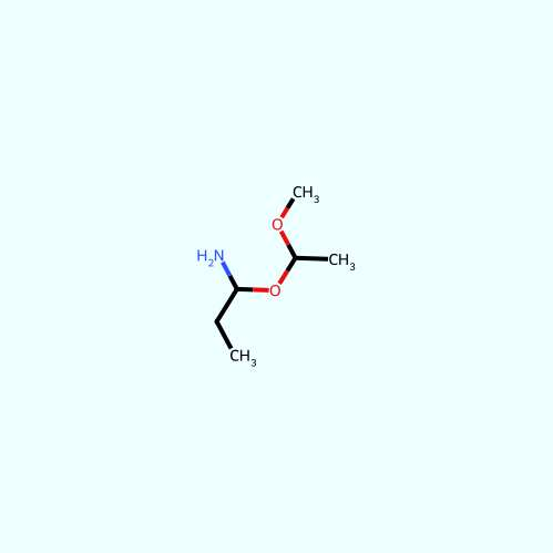 CCC(N)OC(C)OC